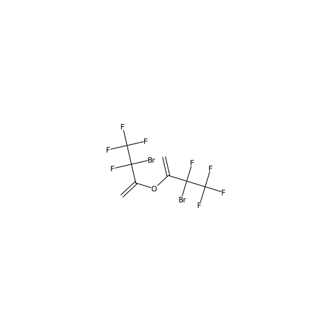 C=C(OC(=C)C(F)(Br)C(F)(F)F)C(F)(Br)C(F)(F)F